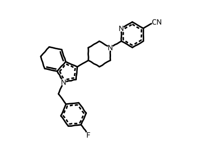 N#Cc1ccc(N2CCC(c3cn(Cc4ccc(F)cc4)c4c3=CCCC=4)CC2)nc1